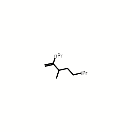 C=C(CCC)C(C)CCC(C)C